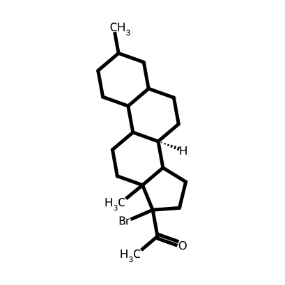 CC(=O)C1(Br)CCC2[C@@H]3CCC4CC(C)CCC4C3CCC21C